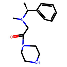 C[C@@H](c1ccccc1)N(C)CC(=O)N1CCNCC1